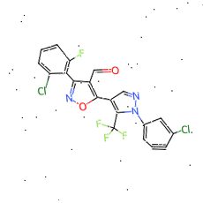 O=Cc1c(-c2c(F)cccc2Cl)noc1-c1cnn(-c2cc#cc(Cl)c2)c1C(F)(F)F